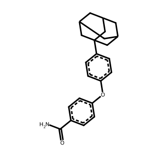 NC(=O)c1ccc(Oc2ccc(C34CC5CC(CC(C5)C3)C4)cc2)cc1